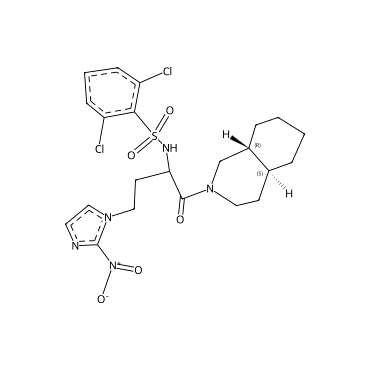 O=C(C(CCn1ccnc1[N+](=O)[O-])NS(=O)(=O)c1c(Cl)cccc1Cl)N1CC[C@@H]2CCCC[C@H]2C1